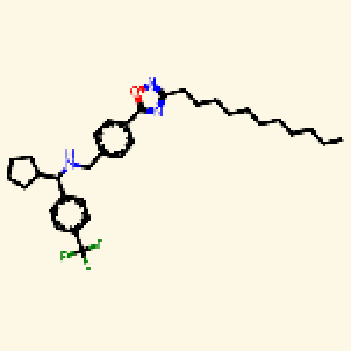 CCCCCCCCCCCc1noc(-c2ccc(CNC(c3ccc(C(F)(F)F)cc3)C3CCCC3)cc2)n1